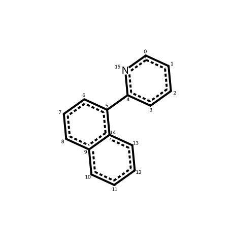 [c]1cccc(-c2cccc3ccccc23)n1